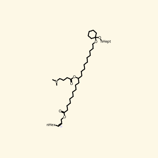 CCCCCC/C=C\COC(=O)CCCCCCCCCC(CCCCCCCCCCOC1(OCCCCCCC)CCCCC1)OC(=O)CCCN(C)C